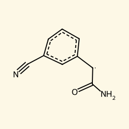 N#Cc1cccc([CH]C(N)=O)c1